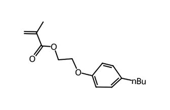 C=C(C)C(=O)OCCOc1ccc(CCCC)cc1